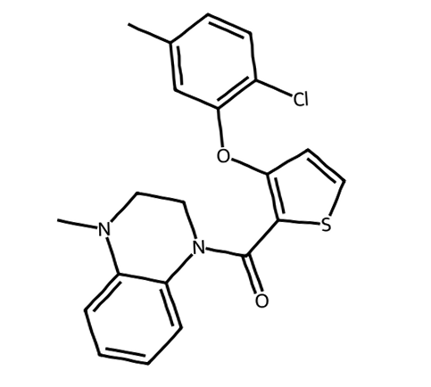 Cc1ccc(Cl)c(Oc2ccsc2C(=O)N2CCN(C)c3ccccc32)c1